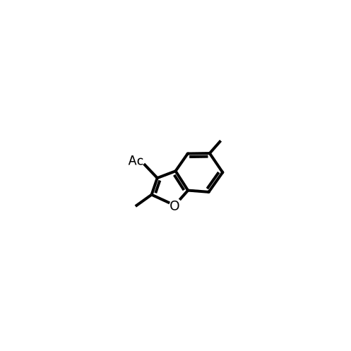 CC(=O)c1c(C)oc2ccc(C)cc12